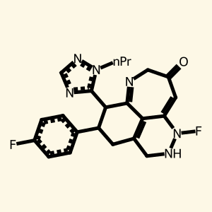 CCCn1ncnc1C1C2=NCC(=O)C=C3C2=C(CNN3F)CC1c1ccc(F)cc1